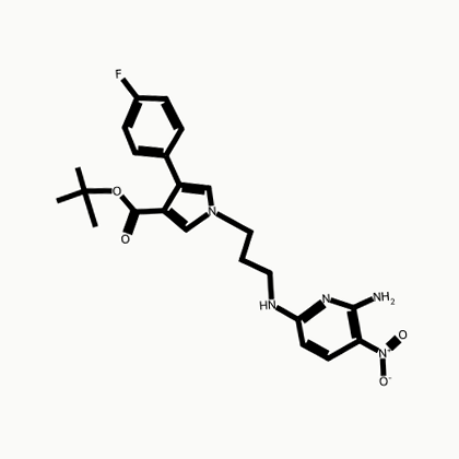 CC(C)(C)OC(=O)c1cn(CCCNc2ccc([N+](=O)[O-])c(N)n2)cc1-c1ccc(F)cc1